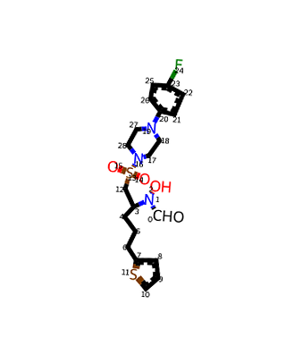 O=CN(O)C(CCCc1cccs1)CS(=O)(=O)N1CCN(c2ccc(F)cc2)CC1